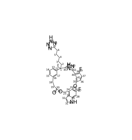 CC1(CCCCCc2nn[nH]n2)c2cccc(c2)CCC(=O)OCc2c(c(F)cc3[nH]ccc23)Oc2ccc(F)c(c2)-c2ncc1[nH]2